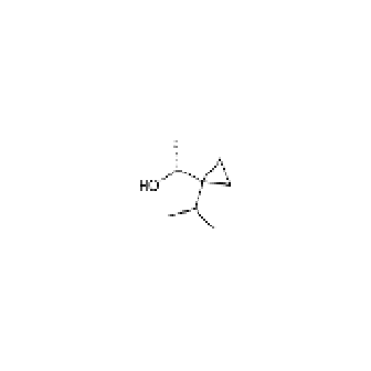 CC(C)C1([C@@H](C)O)CC1